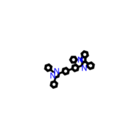 c1ccc(-c2cc(-c3ccc(-c4ccc(-c5nc6ccccc6c6c7ccccc7n(-c7ccccc7)c56)cc4)cc3)nc(-c3ccccc3)n2)cc1